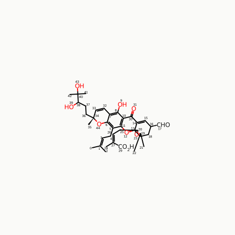 CC(C)=CCc1c2c(c(O)c3c1O[C@]14C(=CC(C=O)CC1C(C)(C)OC4C/C=C(/C)C(=O)O)C3=O)C=C[C@@](C)(CCC(O)C(C)(C)O)O2